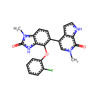 Cn1cc(-c2ccc3c([nH]c(=O)n3C)c2Oc2ccccc2F)c2cc[nH]c2c1=O